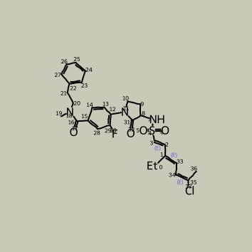 CCC(/C=C/S(=O)(=O)NC1CCN(c2ccc(C(=O)N(C)CCc3ccccc3)cc2F)C1=O)=C\C=C(/C)Cl